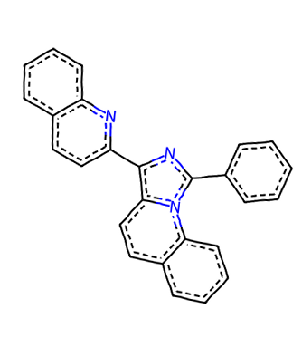 c1ccc(-c2nc(-c3ccc4ccccc4n3)c3ccc4ccccc4n23)cc1